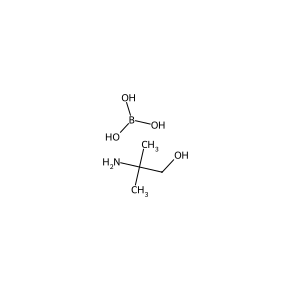 CC(C)(N)CO.OB(O)O